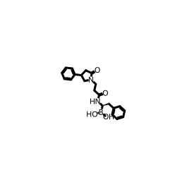 O=C(CCN1CC(c2ccccc2)CC1=O)N[C@@H](Cc1ccccc1)B(O)O